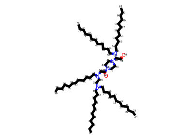 CCCCCCCCCCCCN(CCCCCCCCCCCC)CCN(CCCCCCCCCCCC)CC(=O)N1CCN([C@@H](C=O)N(CCCCCCCCCCCC)CCCCCCCCCCCC)CC1